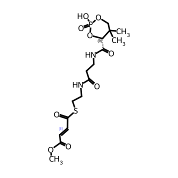 COC(=O)/C=C/C(=O)SCCNC(=O)CCNC(=O)[C@@H]1OP(=O)(O)OCC1(C)C